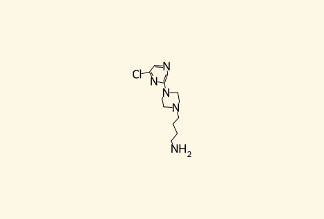 NCCCCN1CCN(c2cncc(Cl)n2)CC1